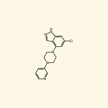 Clc1cc(N2CCN(c3cccnc3)CC2)c2cn[nH]c2c1